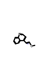 CO/C=C/c1ccnc2ccccc12